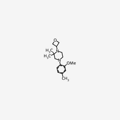 COc1cc(C)ccc1N1CCN(C2COC2)C(C)(C)C1